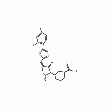 Cc1ccc(-c2ccc(/C=C3/SC(=S)N(C4CCCC(C(=O)O)C4)C3=O)o2)c(F)c1